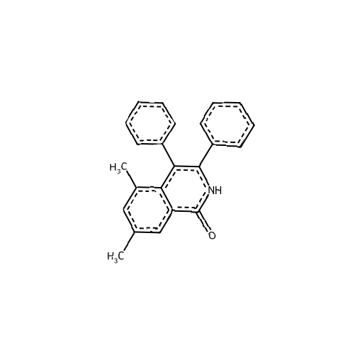 Cc1cc(C)c2c(-c3ccccc3)c(-c3ccccc3)[nH]c(=O)c2c1